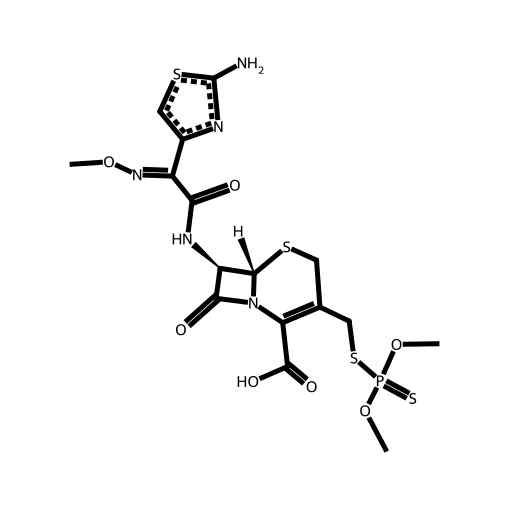 CON=C(C(=O)N[C@@H]1C(=O)N2C(C(=O)O)=C(CSP(=S)(OC)OC)CS[C@@H]12)c1csc(N)n1